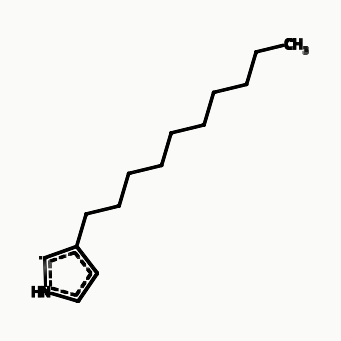 CCCCCCCCCCc1[c][nH]cc1